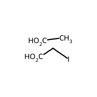 CC(=O)O.O=C(O)CI